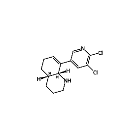 Clc1cc(C2=CCC[C@H]3CCCN[C@@H]23)cnc1Cl